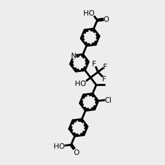 CC(c1ccc(-c2ccc(C(=O)O)cc2)cc1Cl)C(O)(c1ccnc(-c2ccc(C(=O)O)cc2)c1)C(F)(F)F